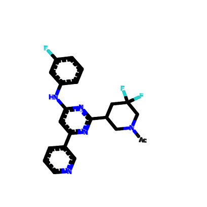 CC(=O)N1CC(c2nc(Nc3cccc(F)c3)cc(-c3cccnc3)n2)CC(F)(F)C1